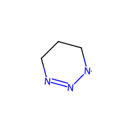 C1C[N]N=NC1